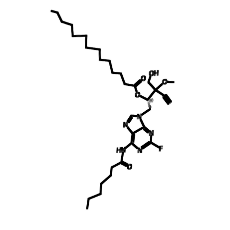 C#CC(CO)(OC)[C@H](Cn1cnc2c(NC(=O)CCCCCC)nc(F)nc21)OC(=O)CCCCCCCCCCCCC